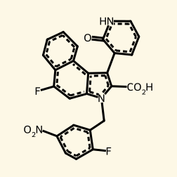 O=C(O)c1c(-c2ccc[nH]c2=O)c2c3ccccc3c(F)cc2n1Cc1cc([N+](=O)[O-])ccc1F